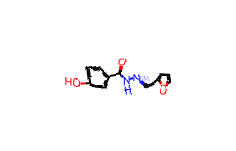 O=C(N/N=C/c1ccco1)c1ccc(O)cc1